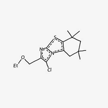 CCOCc1nc2sc3c(n2c1Cl)CC(C)(C)CC3(C)C